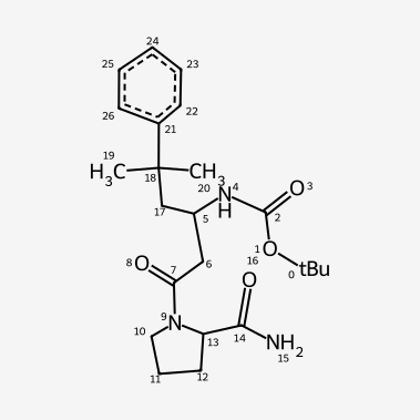 CC(C)(C)OC(=O)NC(CC(=O)N1CCCC1C(N)=O)CC(C)(C)c1ccccc1